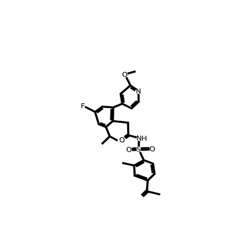 C=C(C)c1ccc(S(=O)(=O)NC(=O)Cc2c(-c3ccnc(OC)c3)cc(F)cc2C(C)C)c(C)c1